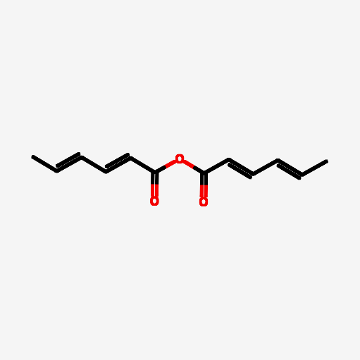 CC=CC=CC(=O)OC(=O)/C=C/C=C/C